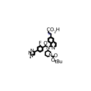 Cn1cc(-c2ccc(C(=O)N(c3nccc4cc(/C=C/C(=O)O)ccc34)C3CCCN(C(=O)OC(C)(C)C)C3)c(F)c2)nn1